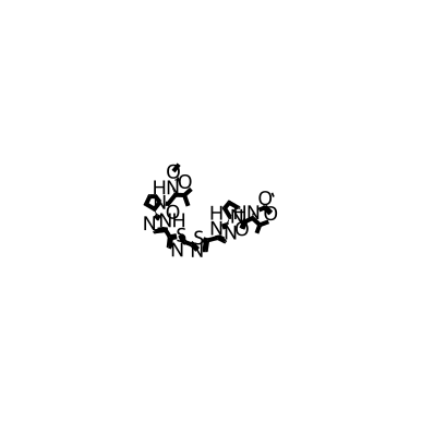 COC(=O)N[C@@H](C(=O)N1CCC[C@H]1c1ncc(-c2cnc(-c3ncc(-c4cnc([C@@H]5CCCN5C(=O)[C@H](NC(=O)OC)C(C)C)[nH]4)s3)s2)[nH]1)C(C)C